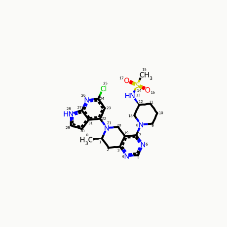 C[C@@H]1Cc2ncnc(N3CCC[C@H](NS(C)(=O)=O)C3)c2CN1c1cc(Cl)nc2[nH]ccc12